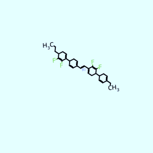 CCCC1CC=C(C2C=CC(/C=C/C3=CCC(C4C=CC(CC)=CC4)C(F)=C3F)=CC2)C(F)=C1F